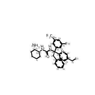 N[C@H]1CCCC[C@@H]1NC(=O)N[C@](Cc1ccccc1)(c1cc(F)cc(C(F)(F)F)c1)c1ccc(CI)cn1